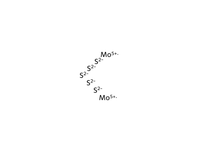 [Mo+5].[Mo+5].[S-2].[S-2].[S-2].[S-2].[S-2]